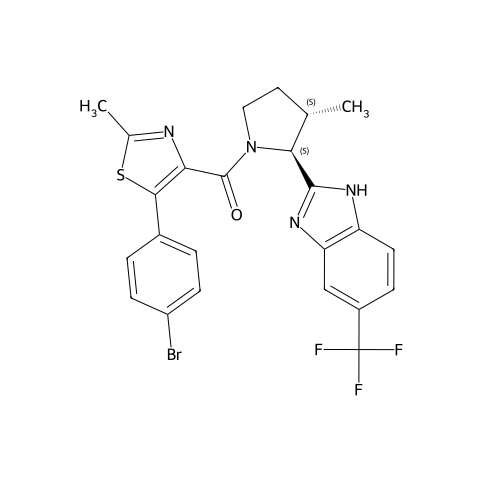 Cc1nc(C(=O)N2CC[C@H](C)[C@H]2c2nc3cc(C(F)(F)F)ccc3[nH]2)c(-c2ccc(Br)cc2)s1